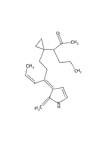 C=c1[nH]cc/c1=C(/C=C\C)CCC1(C(CCC)C(C)=O)CC1